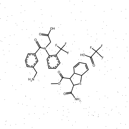 COC(=O)C1C(C(N)=O)SC2C=CC=CC21.NCc1cccc(C(=O)N(CC(=O)O)c2ccccc2C(F)(F)F)c1.O=C(O)C(F)(F)F